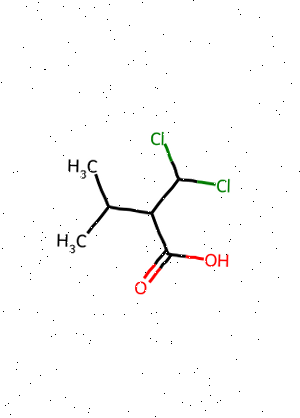 CC(C)C(C(=O)O)C(Cl)Cl